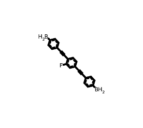 Bc1ccc(C#Cc2ccc(C#Cc3ccc(B)cc3)c(F)c2)cc1